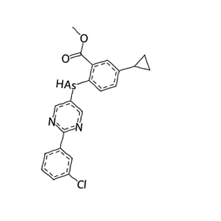 COC(=O)c1cc(C2CC2)ccc1[AsH]c1cnc(-c2cccc(Cl)c2)nc1